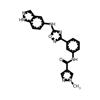 Cn1cc(C(=O)Nc2cccc(-c3noc(Nc4ccc5[nH]ncc5c4)n3)c2)cn1